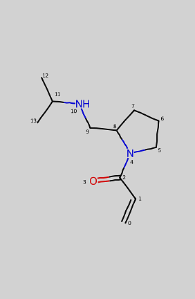 C=CC(=O)N1CCCC1CNC(C)C